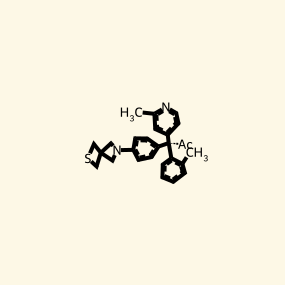 CC(=O)[C@](c1ccc(N2CC3(CSC3)C2)cc1)(c1ccnc(C)c1)c1ccccc1C